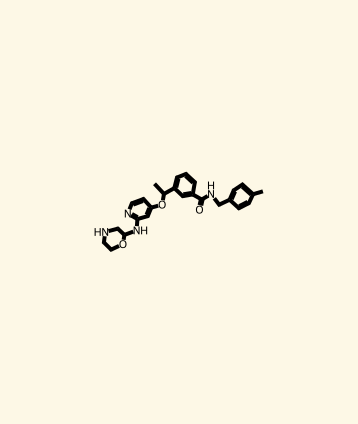 Cc1ccc(CNC(=O)c2cccc(C(C)Oc3ccnc(NC4CNCCO4)c3)c2)cc1